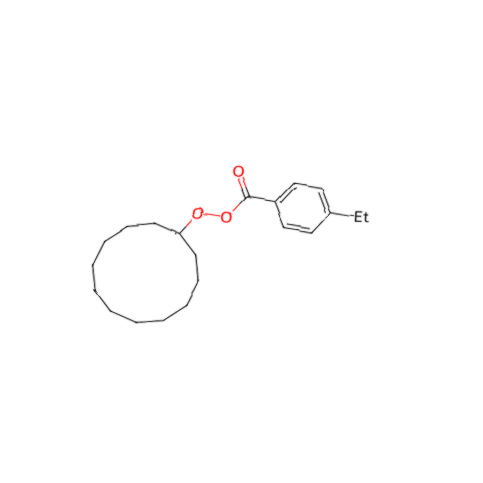 CCc1ccc(C(=O)OO[C]2CCCCCCCCCCC2)cc1